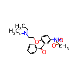 CCN(CC)CCOc1ccc(NS(C)(=O)=O)cc1C(=O)c1ccccc1